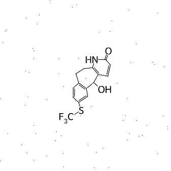 O=c1ccc2c([nH]1)CCc1ccc(SC(F)(F)F)cc1C2O